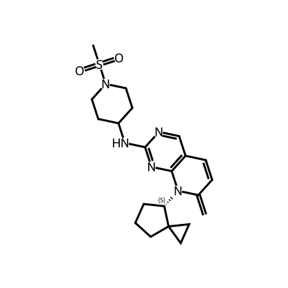 C=C1C=Cc2cnc(NC3CCN(S(C)(=O)=O)CC3)nc2N1[C@H]1CCCC12CC2